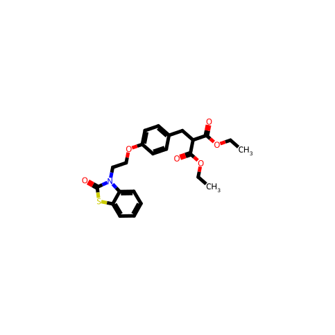 CCOC(=O)C(Cc1ccc(OCCn2c(=O)sc3ccccc32)cc1)C(=O)OCC